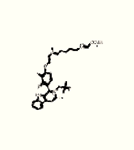 CCOC(=O)COCCCCCN(C)CCOc1ccc([C@@H]2c3[nH]c4ccccc4c3C[C@@H](C)N2CC(C)(C)F)c(F)c1F